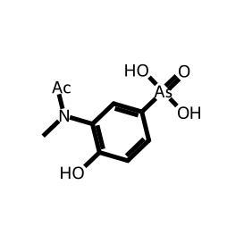 CC(=O)N(C)c1cc([As](=O)(O)O)ccc1O